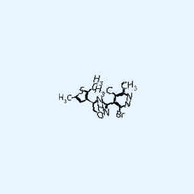 Cc1cc([C@@H]2CON=C(c3c(Br)nnc(C)c3C)N2)c(C)s1